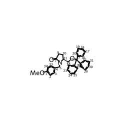 COc1ccc(CN2C(=O)CC[C@H]2COC(c2ccccc2)(c2ccccc2)c2ccccc2)cc1